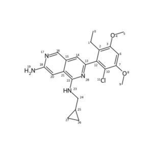 CCc1c(OC)cc(OC)c(Cl)c1-c1cc2cnc(N)cc2c(NCC2CC2)n1